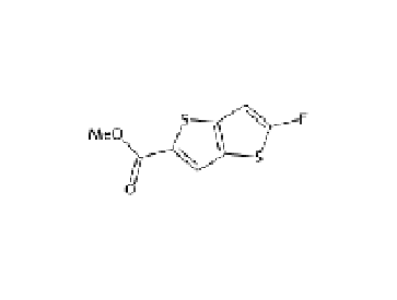 COC(=O)c1cc2sc(F)cc2s1